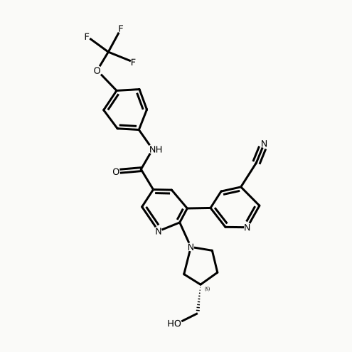 N#Cc1cncc(-c2cc(C(=O)Nc3ccc(OC(F)(F)F)cc3)cnc2N2CC[C@H](CO)C2)c1